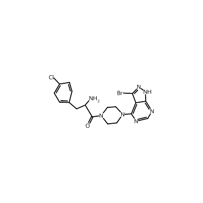 NC(Cc1ccc(Cl)cc1)C(=O)N1CCN(c2ncnc3[nH]nc(Br)c23)CC1